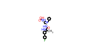 Cc1c(C(=O)NC[C@@H]2C[C@H](CNC(=O)O)CN2Cc2ccccc2)[nH]c2ccc(-c3ccc(F)cc3)cc12